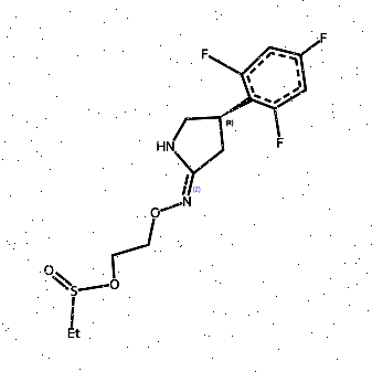 CCS(=O)OCCO/N=C1/C[C@H](c2c(F)cc(F)cc2F)CN1